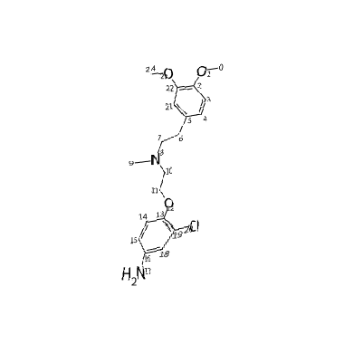 COc1ccc(CCN(C)CCOc2ccc(N)cc2Cl)cc1OC